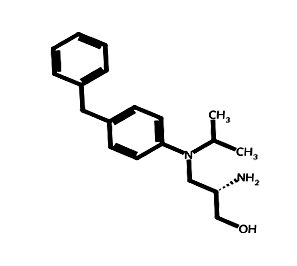 CC(C)N(C[C@H](N)CO)c1ccc(Cc2ccccc2)cc1